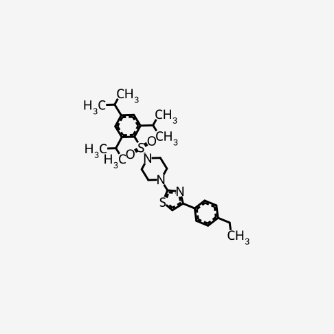 CCc1ccc(-c2csc(N3CCN(S(=O)(=O)c4c(C(C)C)cc(C(C)C)cc4C(C)C)CC3)n2)cc1